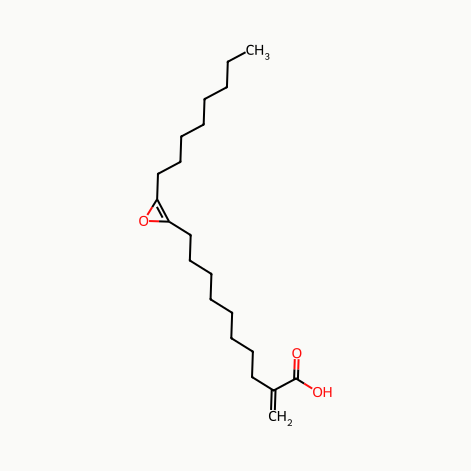 C=C(CCCCCCCCC1=C(CCCCCCCC)O1)C(=O)O